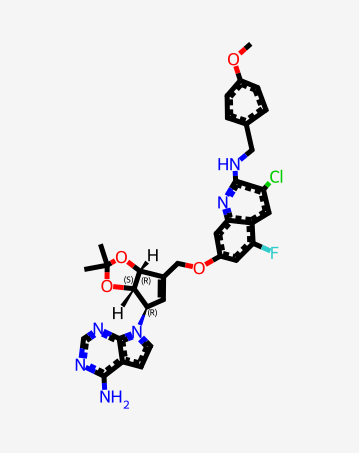 COc1ccc(CNc2nc3cc(OCC4=C[C@@H](n5ccc6c(N)ncnc65)[C@@H]5OC(C)(C)O[C@H]45)cc(F)c3cc2Cl)cc1